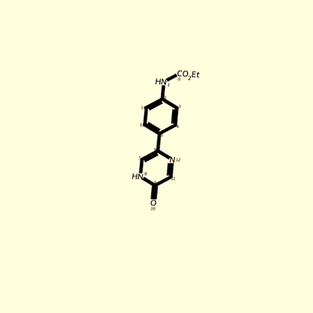 CCOC(=O)Nc1ccc(-c2c[nH]c(=O)cn2)cc1